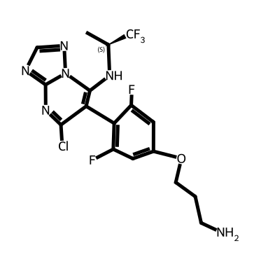 C[C@H](Nc1c(-c2c(F)cc(OCCCN)cc2F)c(Cl)nc2ncnn12)C(F)(F)F